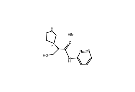 Br.O=C(Nc1cccnn1)C(CO)[C@H]1CCNC1